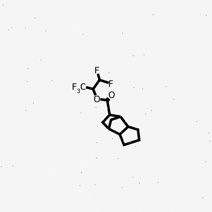 O=C(OC(C(F)F)C(F)(F)F)C1CC2CC1C1CCCC21